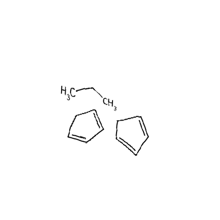 C1=CCC=C1.C1=CCC=C1.CCC